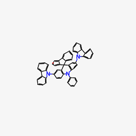 c1ccc(N2c3ccc(-n4c5ccccc5c5ccccc54)cc3C3(c4ccccc4-c4ccccc43)c3cc(-n4c5ccccc5c5ccccc54)ccc32)cc1